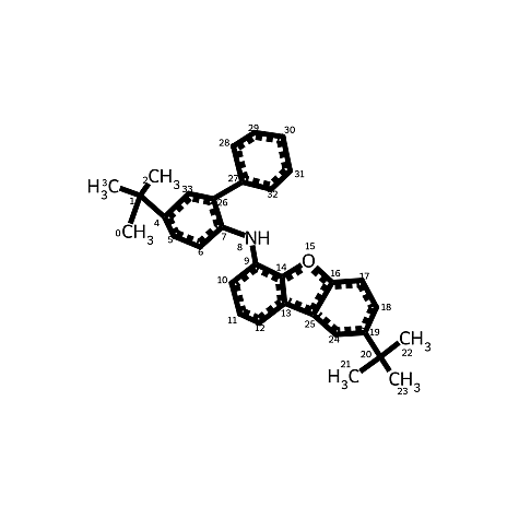 CC(C)(C)c1ccc(Nc2cccc3c2oc2ccc(C(C)(C)C)cc23)c(-c2ccccc2)c1